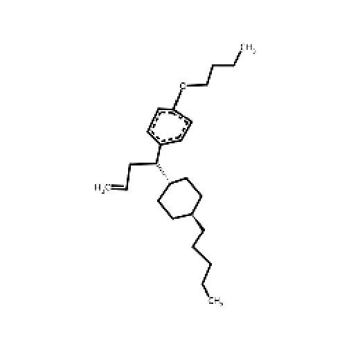 C=CCC(c1ccc(OCCCC)cc1)[C@H]1CC[C@H](CCCCC)CC1